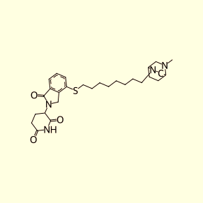 CN1CC2CCC1CN2CCCCCCCCSc1cccc2c1CN(C1CCC(=O)NC1=O)C2=O